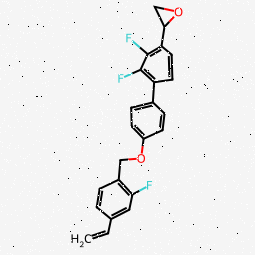 C=Cc1ccc(COc2ccc(-c3ccc(C4CO4)c(F)c3F)cc2)c(F)c1